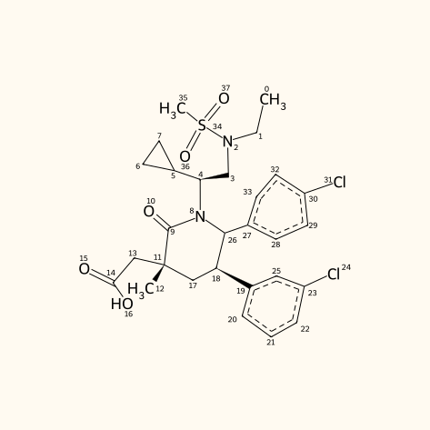 CCN(C[C@H](C1CC1)N1C(=O)[C@@](C)(CC(=O)O)C[C@H](c2cccc(Cl)c2)C1c1ccc(Cl)cc1)S(C)(=O)=O